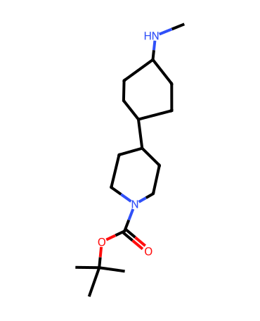 CNC1CCC(C2CCN(C(=O)OC(C)(C)C)CC2)CC1